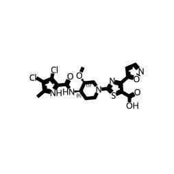 CO[C@H]1CN(c2nc(-c3ccno3)c(C(=O)O)s2)CC[C@H]1NC(=O)c1[nH]c(C)c(Cl)c1Cl